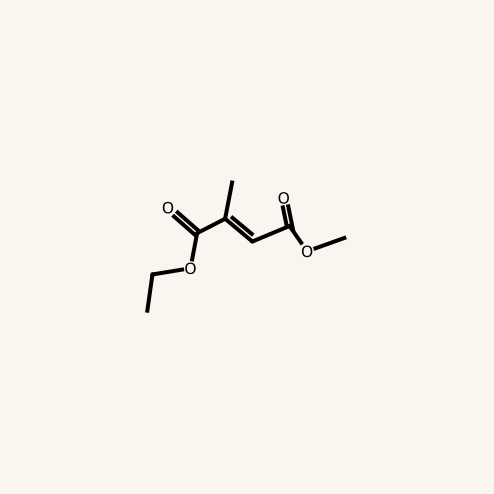 CCOC(=O)C(C)=CC(=O)OC